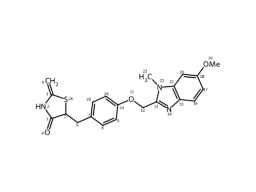 C=C1NC(=O)C(Cc2ccc(OCc3nc4ccc(OC)cc4n3C)cc2)S1